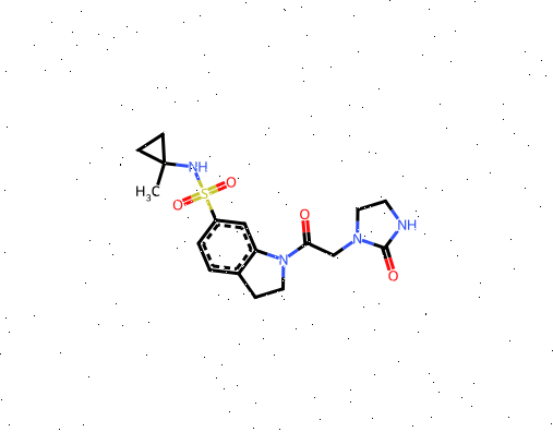 CC1(NS(=O)(=O)c2ccc3c(c2)N(C(=O)CN2CCNC2=O)CC3)CC1